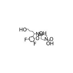 O=C(O)N1CCC(O)(C(=O)NC(CCCO)c2cc(F)cc(F)c2)CC1